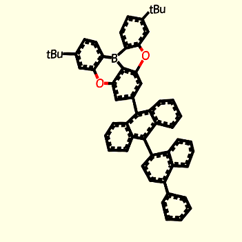 CC(C)(C)c1ccc2c(c1)Oc1cc(-c3c4ccccc4c(-c4ccc(-c5ccccc5)c5ccccc45)c4ccccc34)cc3c1B2c1ccc(C(C)(C)C)cc1O3